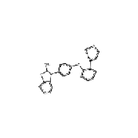 NC1Sc2ccccc2N1c1ccc(Oc2ncccc2-c2ccncn2)cc1